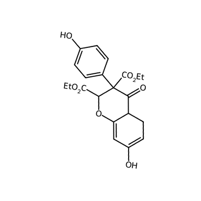 CCOC(=O)C1OC2=CC(O)=CCC2C(=O)C1(C(=O)OCC)c1ccc(O)cc1